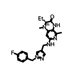 CC[C@H]1C(=O)Nc2c(cc(NCc3cnn(Cc4ccc(F)cc4)c3)nc2C)N1C